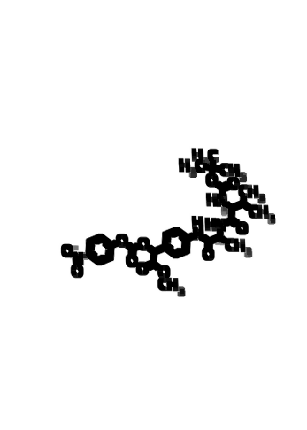 COC(=O)C(OC(=O)Oc1ccc([N+](=O)[O-])cc1)c1ccc(NC(=O)[C@H](C)NC(=O)[C@@H](NC(=O)OC(C)(C)C)C(C)C)cc1